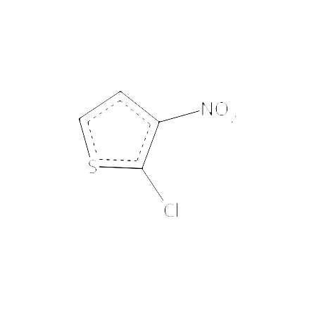 O=[N+]([O-])c1c[c]sc1Cl